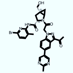 CC(=O)c1nn(CC(=O)N2C3C[C@]3(CO)C[C@H]2C(=O)Nc2nc(Br)ccc2C)c2ccc(-c3cnc(C)nc3)cc12